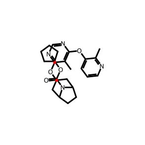 Cc1ncccc1Oc1ncnc(OC2CC3CCC(C2)N3C(=O)OC2CCCC2)c1C